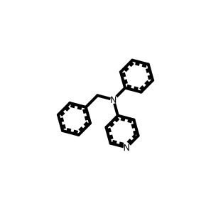 c1ccc(CN(c2ccccc2)c2ccncc2)cc1